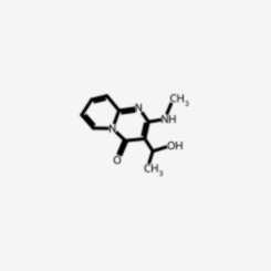 CNc1nc2ccccn2c(=O)c1C(C)O